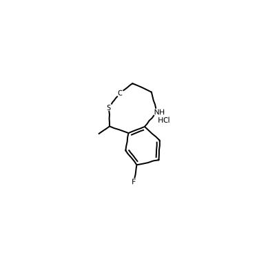 CC1SCCCNc2ccc(F)cc21.Cl